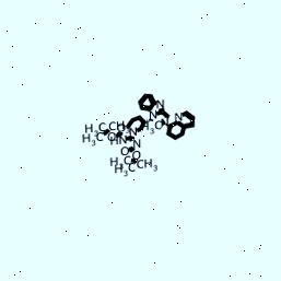 CN(Cc1nc2ccccc2n1C[C@H]1CCCN(C(=NC(=O)OC(C)(C)C)NC(=O)OC(C)(C)C)C1)[C@H]1CCCc2cccnc21